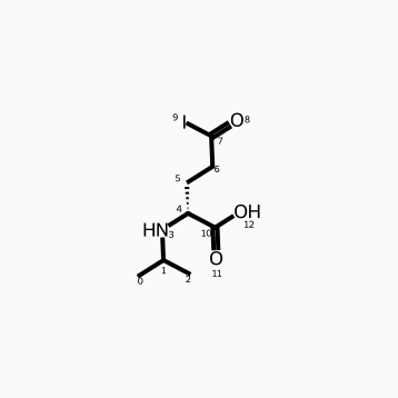 CC(C)N[C@H](CCC(=O)I)C(=O)O